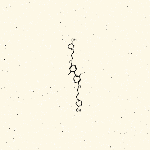 Cc1cc(OCCCN2CC[C@@H](O)C2)ccc1-c1ccc(OCCCN2CC[C@@H](O)C2)cc1C